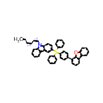 C=C/C=C\C=C/n1c2ccccc2c2cc(S(c3ccccc3)(c3ccccc3)c3ccc(-c4cccc5c4oc4ccccc45)cc3)ccc21